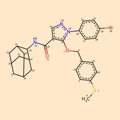 CSc1ccc(COc2c(C(=O)NC3C4CC5CC(C4)CC3C5)cnn2-c2ccc(Br)cc2)cc1